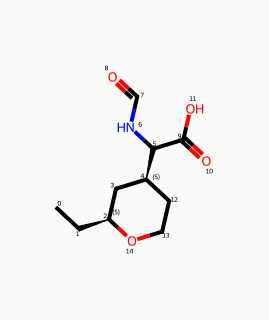 CC[C@H]1C[C@@H](C(NC=O)C(=O)O)CCO1